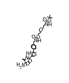 C=C(NC(=O)c1csc(-c2ccc(CNC(=O)OCCOCCNC(=O)OC(C)(C)C)cc2)n1)C(N)=O